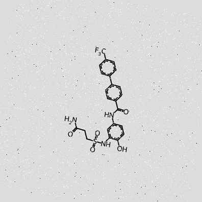 NC(=O)CCS(=O)(=O)Nc1cc(NC(=O)c2ccc(-c3ccc(C(F)(F)F)cc3)cc2)ccc1O